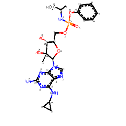 CC(NP(=O)(OC[C@H]1O[C@@H](n2cnc3c(NC4CC4)nc(N)nc32)[C@](C)(O)[C@@H]1O)Oc1ccccc1)C(=O)O